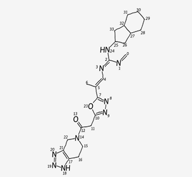 C=N/C(=N\C=C(/C)c1nnc(CC(=O)N2CCc3[nH]nnc3C2)o1)NC1CC2CCCCC2C1